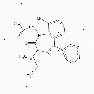 CC[C@H](C)C1N=C(c2ccccc2)c2cccc(Cl)c2N(CC(=O)O)C1=O